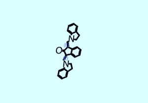 O=C1/C(=C/N2CCc3ccccc32)c2ccccc2/C1=C\N1CCc2ccccc21